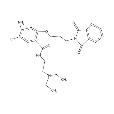 CCN(CC)CCNC(=O)c1cc(Cl)c(N)cc1OCCCN1C(=O)c2ccccc2C1=O